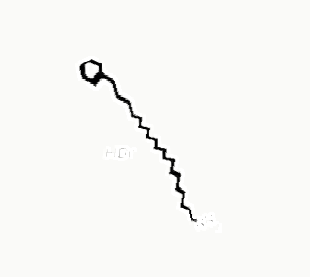 Br.NCCCCCCCCCCCCCCCCCCCCc1ccccc1